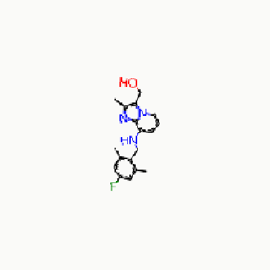 Cc1cc(F)cc(C)c1CNc1cccn2c(CO)c(C)nc12